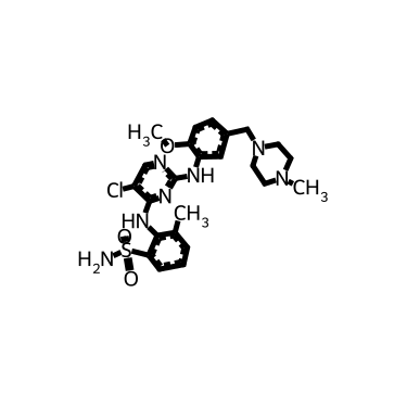 COc1ccc(CN2CCN(C)CC2)cc1Nc1ncc(Cl)c(Nc2c(C)cccc2S(N)(=O)=O)n1